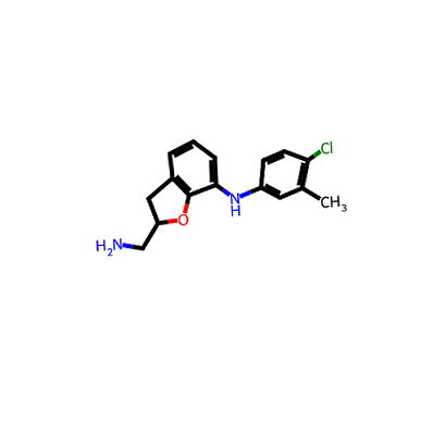 Cc1cc(Nc2cccc3c2OC(CN)C3)ccc1Cl